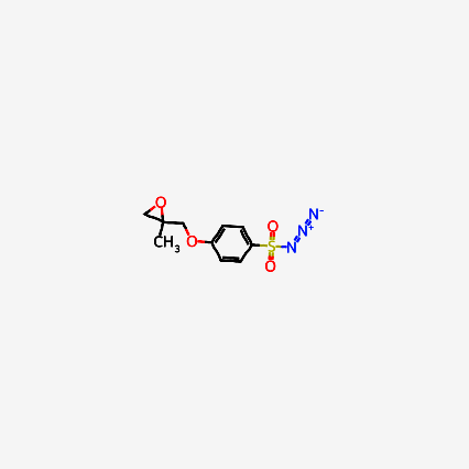 CC1(COc2ccc(S(=O)(=O)N=[N+]=[N-])cc2)CO1